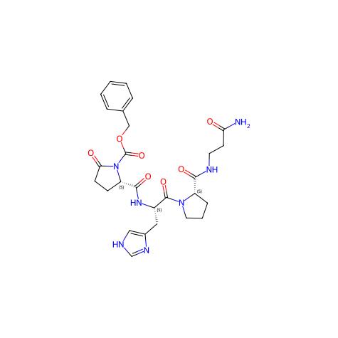 NC(=O)CCNC(=O)[C@@H]1CCCN1C(=O)[C@H](Cc1c[nH]cn1)NC(=O)[C@@H]1CCC(=O)N1C(=O)OCc1ccccc1